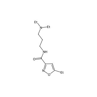 CCc1cc(C(=O)NCCCN(CC)CC)no1